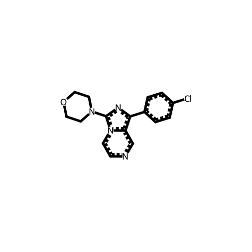 Clc1ccc(-c2nc(N3CCOCC3)n3ccncc23)cc1